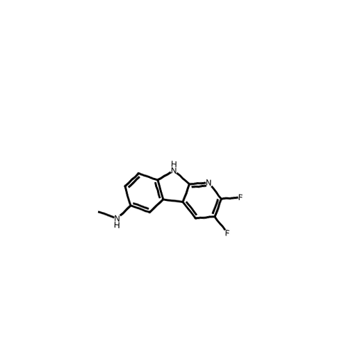 CNc1ccc2[nH]c3nc(F)c(F)cc3c2c1